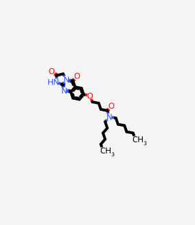 CCCCCCN(CCCCCC)C(=O)CCCOc1ccc2nc3n(c(=O)c2c1)CC(=O)N3